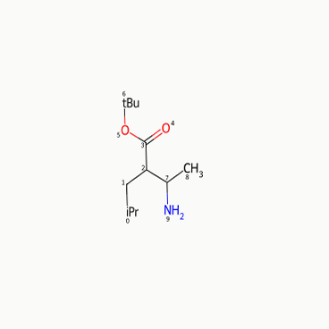 CC(C)CC(C(=O)OC(C)(C)C)C(C)N